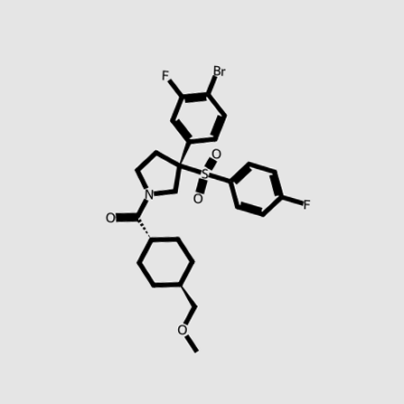 COC[C@H]1CC[C@H](C(=O)N2CC[C@](c3ccc(Br)c(F)c3)(S(=O)(=O)c3ccc(F)cc3)C2)CC1